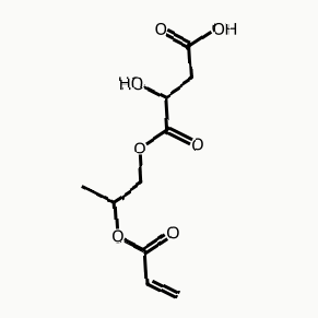 C=CC(=O)OC(C)COC(=O)C(O)CC(=O)O